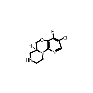 Fc1c(Cl)cnc2c1OC[C@@H]1CNCCN21